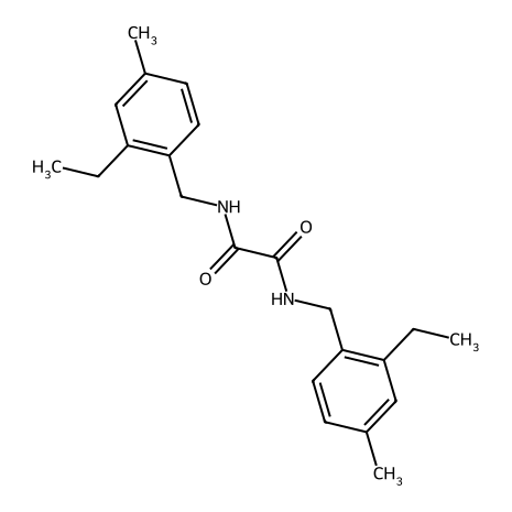 CCc1cc(C)ccc1CNC(=O)C(=O)NCc1ccc(C)cc1CC